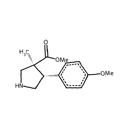 COC(=O)[C@]1(C)CNC[C@H]1c1ccc(OC)cc1